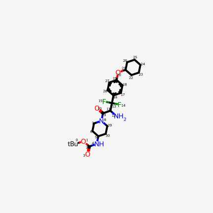 CC(C)(C)OC(=O)NC1CCN(C(=O)C(N)C(F)(F)c2ccc(OC3CCCCC3)cc2)CC1